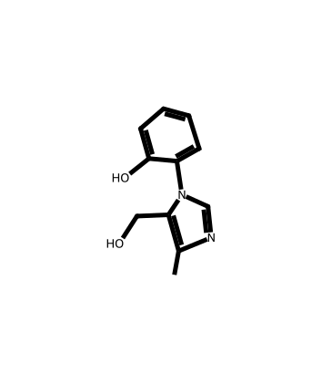 Cc1ncn(-c2ccccc2O)c1CO